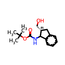 CC(C)(C)OC(=O)NC1c2ccccc2C[C@H]1CO